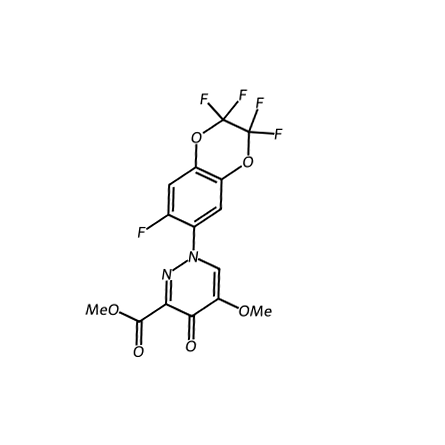 COC(=O)c1nn(-c2cc3c(cc2F)OC(F)(F)C(F)(F)O3)cc(OC)c1=O